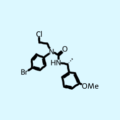 COc1cccc([C@@H](C)NC(=O)N(CCCl)c2ccc(Br)cc2)c1